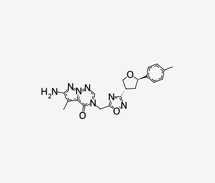 Cc1ccc([C@H]2C[C@H](c3noc(Cn4cnn5nc(N)c(C)c5c4=O)n3)CO2)cc1